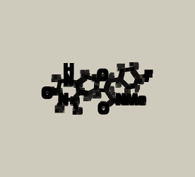 CNC(=O)c1c(-c2ccc(F)cc2)oc2cc3c(cc12)[C@@H](C)N(C)C(=O)CN3